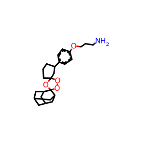 NCCCOc1ccc(C2CCCC3(C2)OOC2(O3)C3CC4CC(C3)CC2C4)cc1